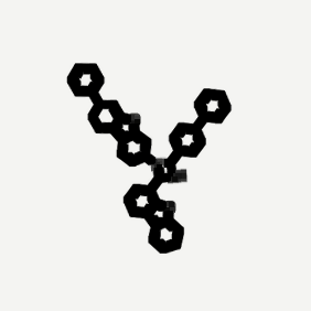 C1=c2oc3cc([N+]4=C(c5cccc6c5oc5ccccc56)NC4c4ccc(-c5ccccc5)cc4)ccc3c2=CCC1c1ccccc1